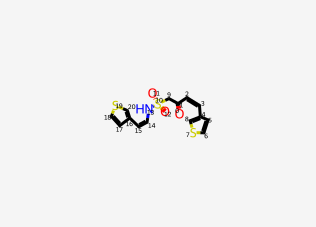 O=C(/C=C\c1ccsc1)CS(=O)(=O)N/C=C\c1ccsc1